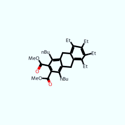 CCCCc1c2c(c(CCCC)c(C(=O)OC)c1C(=O)OC)Cc1c(CC)c(CC)c(CC)c(CC)c1C2